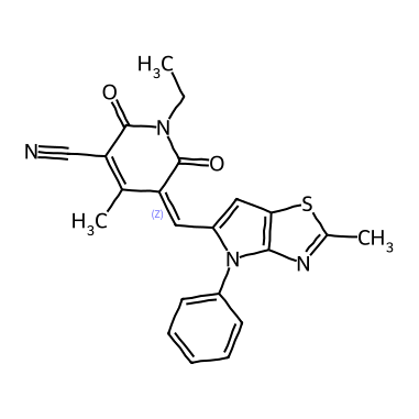 CCN1C(=O)C(C#N)=C(C)/C(=C/c2cc3sc(C)nc3n2-c2ccccc2)C1=O